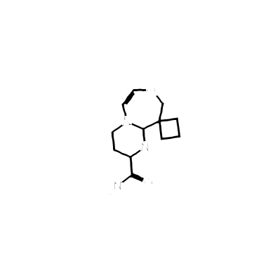 NC(=O)C1CCN2C=COCC3(CCC3)C2N1